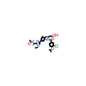 CCn1cc(-c2ccc(C[C@@H](CCO)NC(=O)c3ccc(OC(C)C)c(Cl)c3)cc2)nc1[C@@H](C)N(C)C(C)=O